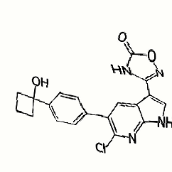 O=c1[nH]c(-c2c[nH]c3nc(Cl)c(-c4ccc(C5(O)CCC5)cc4)cc23)no1